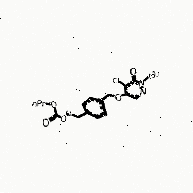 CCCOC(=O)OOCc1ccc(COc2cnn(C(C)(C)C)c(=O)c2Cl)cc1